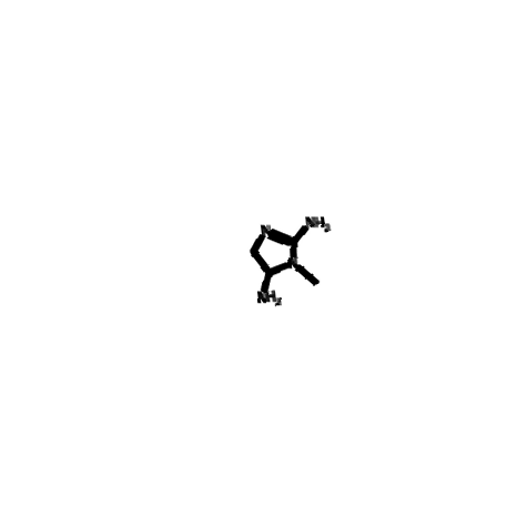 CN1C(N)=NCC1N